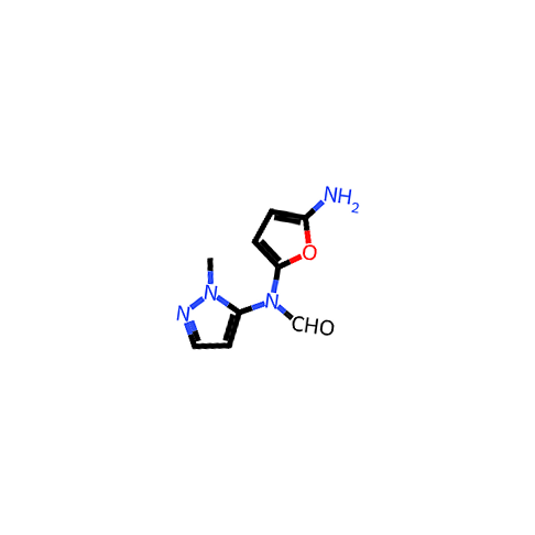 Cn1nccc1N(C=O)c1ccc(N)o1